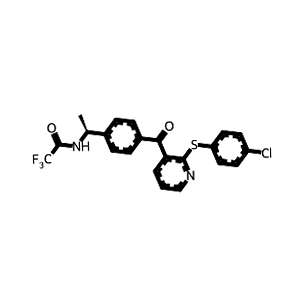 C[C@H](NC(=O)C(F)(F)F)c1ccc(C(=O)c2cccnc2Sc2ccc(Cl)cc2)cc1